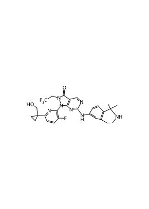 CC1(C)NCCc2cc(Nc3ncc4c(=O)n(CC(F)(F)F)n(-c5nc(C6(CO)CC6)ccc5F)c4n3)ccc21